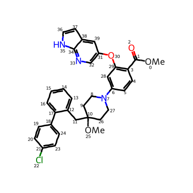 COC(=O)c1ccc(N2CCC(Cc3ccccc3-c3ccc(Cl)cc3)(OC)CC2)cc1Oc1cnc2[nH]ccc2c1